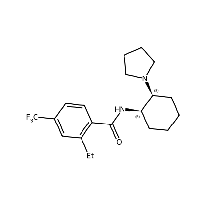 CCc1cc(C(F)(F)F)ccc1C(=O)N[C@@H]1CCCC[C@@H]1N1CCCC1